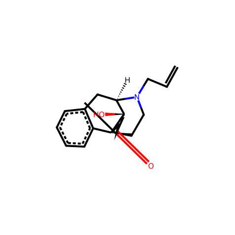 C=CCN1CC[C@]23CC(=O)CC[C@@]2(O)[C@H]1Cc1ccccc13